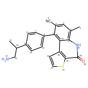 Cc1cc(C#N)c(-c2ccc(C(C)CN)cc2)c2c1[nH]c(=O)c1sccc12